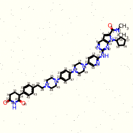 CN(C)C(=O)c1cc2cnc(Nc3ccc(N4CCN(c5ccc(N6CCN(CCc7ccc(C8CCC(=O)NC8=O)cc7)CC6)cc5)CC4)cn3)nc2n1C1CCCC1